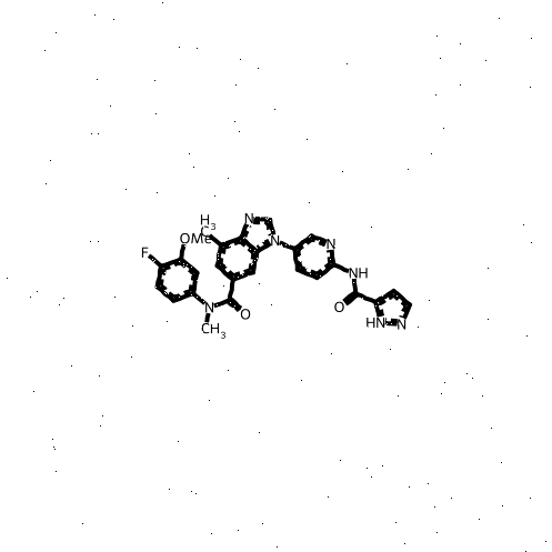 COc1cc(N(C)C(=O)c2cc(C)c3ncn(-c4ccc(NC(=O)c5ccn[nH]5)nc4)c3c2)ccc1F